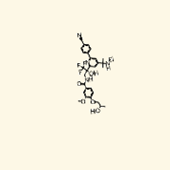 COc1cc(C(=O)NC[C@@](O)(c2cc(C(C)(C)NCl)cc(-c3ccc(C#N)cc3)n2)C(F)(F)F)ccc1OC[C@@H](C)O